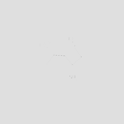 C[C@H](C(=O)O)[C@@H]1CC[C@@H]1N.Cl